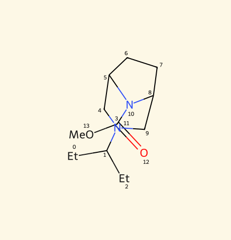 CCC(CC)N1CC2CCC(C1)N2C(=O)OC